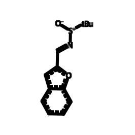 CC(C)(C)[S+]([O-])N=Cc1cc2ccccc2o1